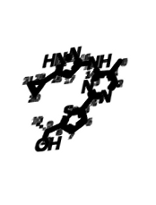 Cc1cnc(-c2ccc([C@@H](C)O)s2)nc1Nc1cc(C2CC2)[nH]n1